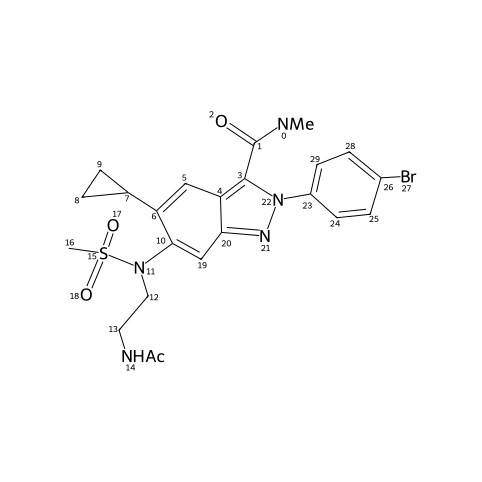 CNC(=O)c1c2cc(C3CC3)c(N(CCNC(C)=O)S(C)(=O)=O)cc2nn1-c1ccc(Br)cc1